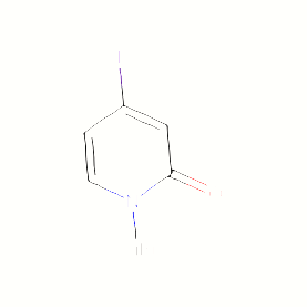 CCC(C)n1ccc(I)cc1=O